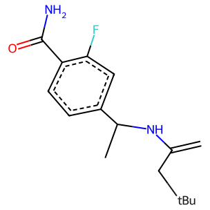 C=C(CC(C)(C)C)NC(C)c1ccc(C(N)=O)c(F)c1